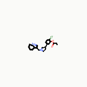 CCC(=O)Oc1cc(C2CCN(Cc3c[nH]c4ccccc34)C2)ccc1Cl